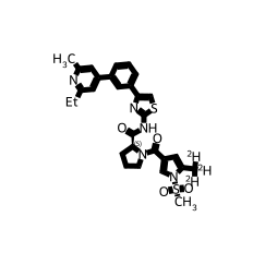 [2H]C([2H])([2H])c1cc(C(=O)N2CCC[C@H]2C(=O)Nc2nc(-c3cccc(-c4cc(C)nc(CC)c4)c3)cs2)cn1S(C)(=O)=O